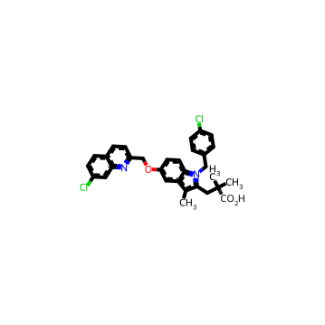 Cc1c(CC(C)(C)C(=O)O)n(Cc2ccc(Cl)cc2)c2ccc(OCc3ccc4ccc(Cl)cc4n3)cc12